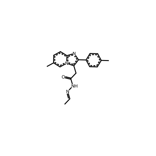 CC=NNC(=O)Cc1c(-c2ccc(C)cc2)nc2ccc(C)cn12